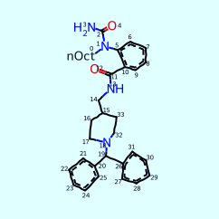 CCCCCCCCN(C(N)=O)c1ccccc1C(=O)NCC1CCN(C(c2ccccc2)c2ccccc2)CC1